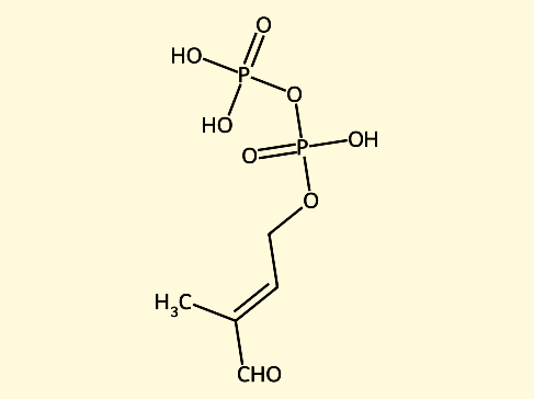 C/C(C=O)=C\COP(=O)(O)OP(=O)(O)O